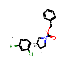 O=C(OCc1ccccc1)N1CC[C@H](c2ccc(Br)cc2Cl)C1